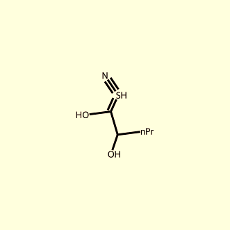 CCCC(O)C(O)=[SH]#N